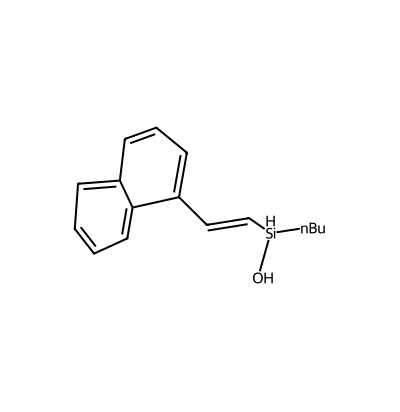 CCCC[SiH](O)C=Cc1cccc2ccccc12